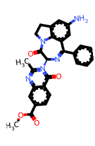 COC(=O)c1ccc2c(=O)n([C@@H]3N=C(c4ccccc4)c4cc(N)cc5c4N(CC5)C3=O)c(C)nc2c1